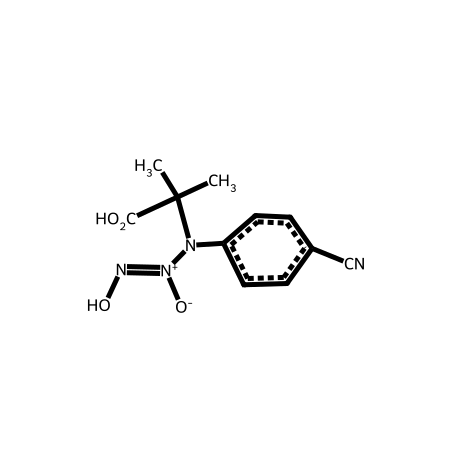 CC(C)(C(=O)O)N(c1ccc(C#N)cc1)/[N+]([O-])=N/O